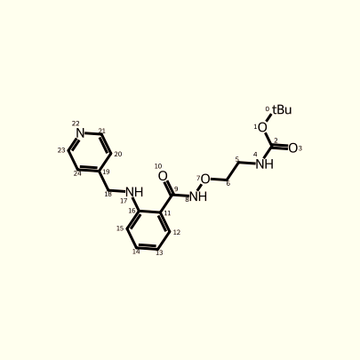 CC(C)(C)OC(=O)NCCONC(=O)c1ccccc1NCc1ccncc1